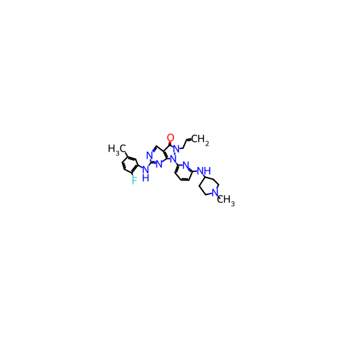 C=CCn1c(=O)c2cnc(Nc3cc(C)ccc3F)nc2n1-c1cccc(NC2CCN(C)CC2)n1